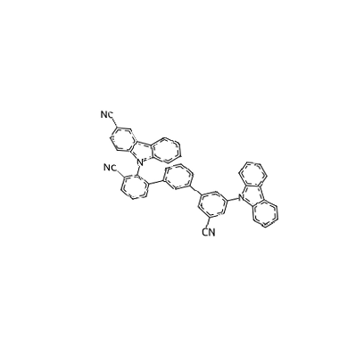 N#Cc1cc(-c2cccc(-c3cccc(C#N)c3-n3c4ccccc4c4cc(C#N)ccc43)c2)cc(-n2c3ccccc3c3ccccc32)c1